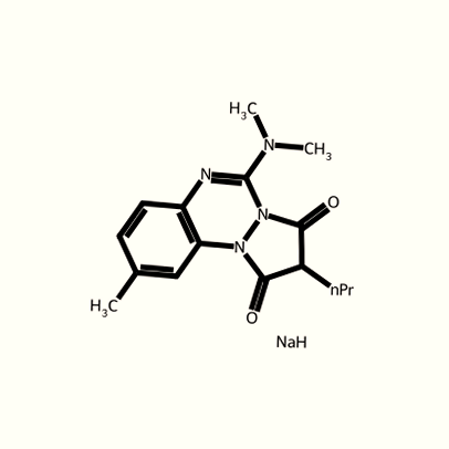 CCCC1C(=O)N2C(N(C)C)=Nc3ccc(C)cc3N2C1=O.[NaH]